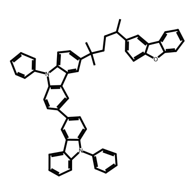 CC(CCC(C)(C)c1ccc2c(c1)c1cc(-c3ccc4c(c3)c3ccccc3n4-c3ccccc3)ccc1n2-c1ccccc1)c1ccc2oc3ccccc3c2c1